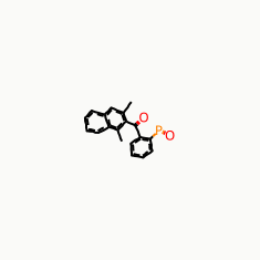 Cc1cc2ccccc2c(C)c1C(=O)c1ccccc1P=O